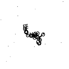 COCCC1CC(C(=O)O)(S(=O)(=O)N2CCC(Oc3ccc(OC(F)(F)F)cc3)CC2)CCN1OC1CCCCO1